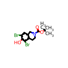 CC(C)(C)OC(=O)N1CCc2c(cc(Br)c(O)c2Br)C1